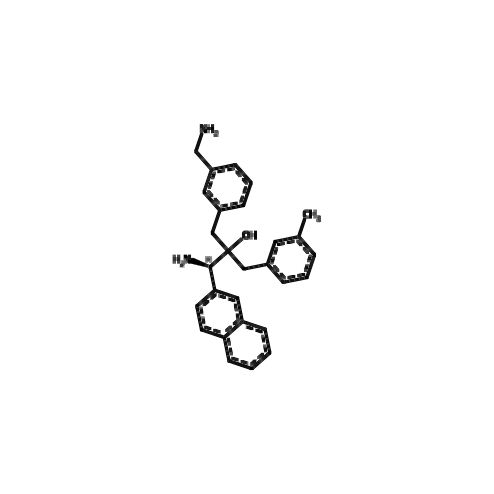 Cc1cccc(CC(O)(Cc2cccc(CN)c2)[C@H](N)c2ccc3ccccc3c2)c1